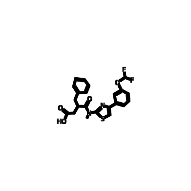 CN(C(=O)C(CC(=O)O)Cc1ccccc1)c1nc(-c2cccc(OC(F)F)c2)cs1